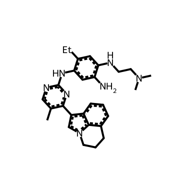 CCc1cc(NCCN(C)C)c(N)cc1Nc1ncc(C)c(-c2cn3c4c(cccc24)CCC3)n1